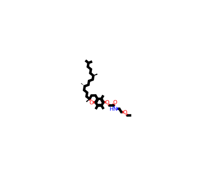 CCOCCNC(=O)COc1c(C)c(C)c2c(c1C)CC[C@@](C)(CCC[C@H](C)CCC[C@H](C)CCCC(C)C)O2